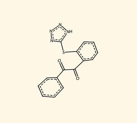 O=C(C(=O)c1ccccc1Sc1nnn[nH]1)c1ccccc1